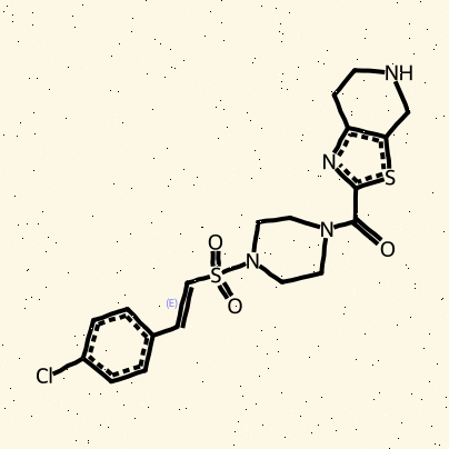 O=C(c1nc2c(s1)CNCC2)N1CCN(S(=O)(=O)/C=C/c2ccc(Cl)cc2)CC1